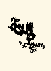 CC(C)Oc1cc(F)cc2ccc(-c3nnc4ccc([C@@H](N5C[C@@H](N)[C@H](O)C5)C(F)(F)F)cn34)nc12.Cl.Cl